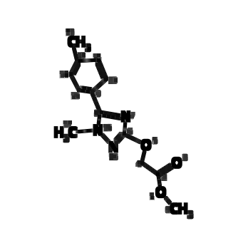 COC(=O)COc1nc(-c2ccc(C)cc2)n(C)n1